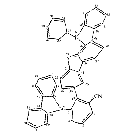 N#Cc1cccc(-n2c3ccccc3c3ccccc32)c1-c1ccc2sc3c(ccc4c5ccccc5n(C5C=CC=CC5)c43)c2c1